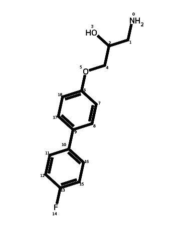 NCC(O)COc1ccc(-c2ccc(F)cc2)cc1